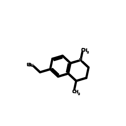 CC1CCN(C)c2ccc(CC(C)(C)C)cc21